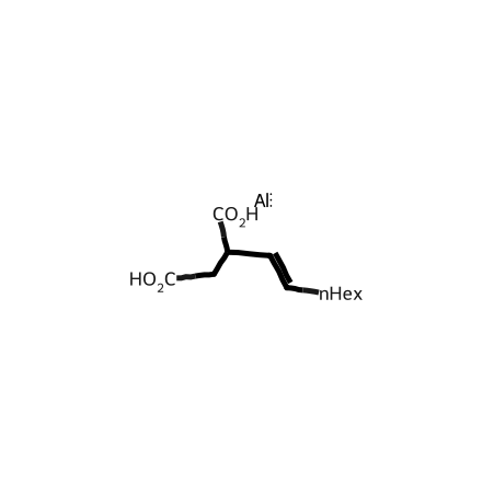 CCCCCCC=CC(CC(=O)O)C(=O)O.[Al]